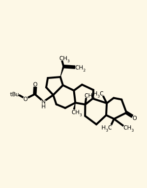 C=C(C)[C@@H]1CCC2(NC(=O)OC(C)(C)C)CC[C@]3(C)C(CCC4C5(C)CCC(=O)C(C)(C)C5CCC43C)C12